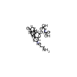 C[C@]12CC/C(=N/OCCN)CC1OC(=O)C[C@@H]1[C@@H]2CC[C@]2(C)C(=O)CC[C@@H]12.O=C(O)/C=C/C(=O)O